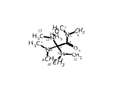 CN(C)C(=O)C(N(C)C)(N(C)C)N(C)C